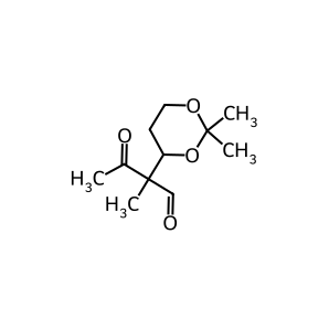 CC(=O)C(C)(C=O)C1CCOC(C)(C)O1